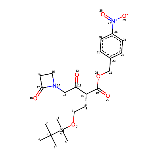 CC(C)(C)[Si](C)(C)OCC[C@H](C(=O)CN1CCC1=O)C(=O)OCc1ccc([N+](=O)[O-])cc1